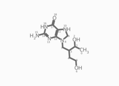 CC(O)C(CCO)CN1CNc2c1nc(N)[nH]c2=O